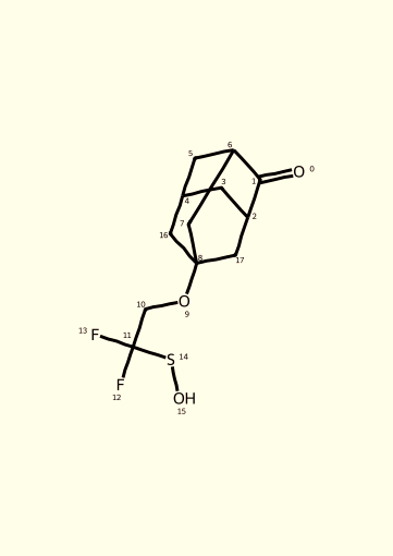 O=C1C2CC3CC1CC(OCC(F)(F)SO)(C3)C2